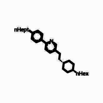 CCCCCCCc1ccc(-c2ccc(CC[C@H]3CC[C@H](CCCCCC)CC3)cn2)cc1